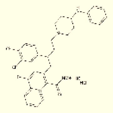 CNC(=O)c1c(CC(CCN2CCC(Nc3ccccc3)CC2)c2ccc(Cl)c(Cl)c2)cc(F)c2ccccc12.Cl.Cl